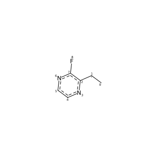 C[CH]c1nccnc1F